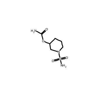 NC(=O)OC1CCCN(S(N)(=O)=O)C1